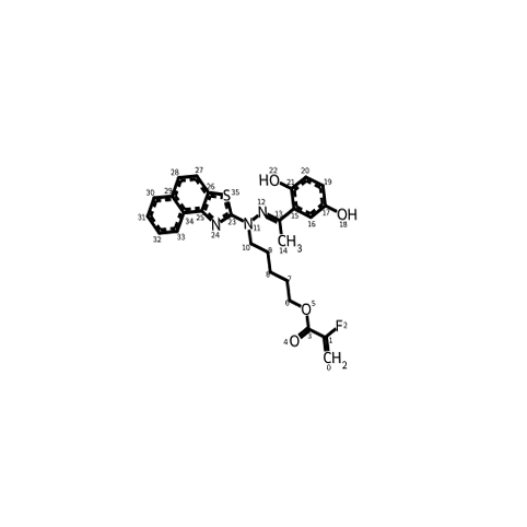 C=C(F)C(=O)OCCCCCN(/N=C(\C)c1cc(O)ccc1O)c1nc2c(ccc3ccccc32)s1